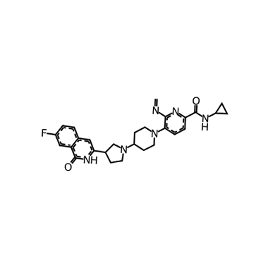 C=Nc1nc(C(=O)NC2CC2)ccc1N1CCC(N2CCC(c3cc4ccc(F)cc4c(=O)[nH]3)C2)CC1